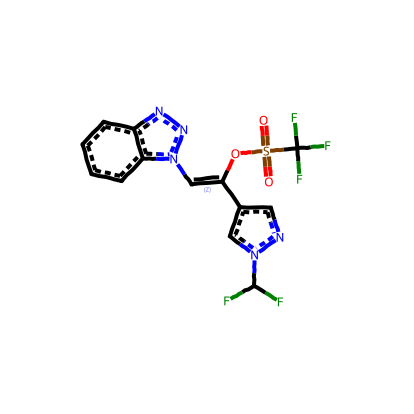 O=S(=O)(O/C(=C\n1nnc2ccccc21)c1cnn(C(F)F)c1)C(F)(F)F